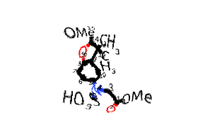 COC(=O)CN(c1ccc2c(c1)C(C)(C)C(OC)O2)S(=O)(=O)O